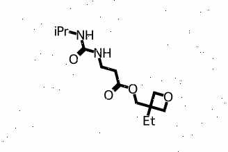 CCC1(COC(=O)CCNC(=O)NC(C)C)COC1